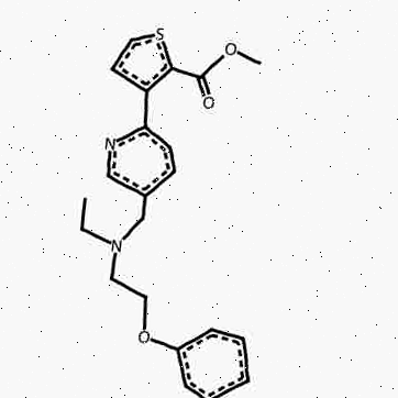 CCN(CCOc1ccccc1)Cc1ccc(-c2ccsc2C(=O)OC)nc1